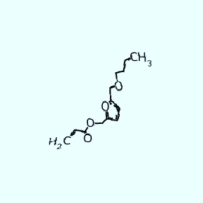 C=CC(=O)OCc1ccc(COCCCC)o1